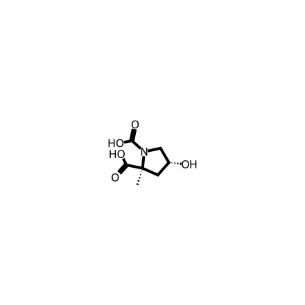 C[C@@]1(C(=O)O)C[C@@H](O)CN1C(=O)O